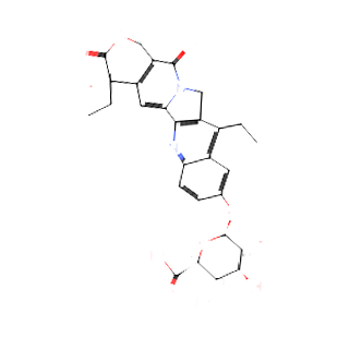 CCc1c2c(nc3ccc(O[C@@H]4O[C@H](C(=O)O)[C@@H](O)[C@H](O)[C@H]4O)cc13)-c1cc3c(c(=O)n1C2)COC(=O)[C@]3(O)CC